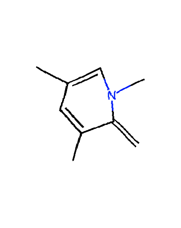 C=C1C(C)=CC(C)=CN1C